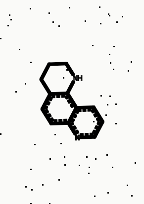 c1cnc2ccc3c(c2c1)NCCC3